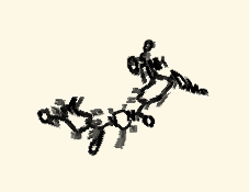 COc1cc(C(=O)N2CCN(C(=O)c3cncc(Cl)c3)CC2)ccc1N[SH](=O)=O